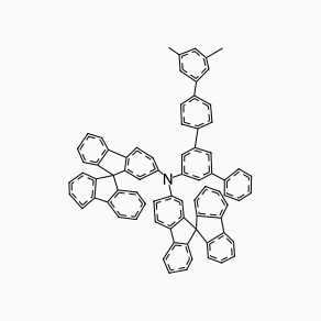 Cc1cc(C)cc(-c2ccc(-c3cc(-c4ccccc4)cc(N(c4ccc5c(c4)C4(c6ccccc6-c6ccccc64)c4ccccc4-5)c4ccc5c(c4)C4(c6ccccc6-c6ccccc64)c4ccccc4-5)c3)cc2)c1